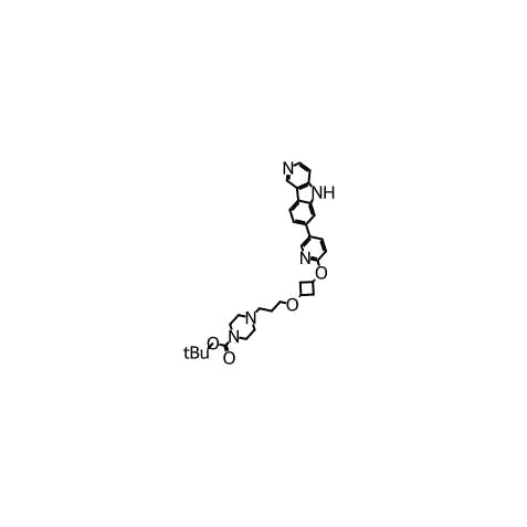 CC(C)(C)OC(=O)N1CCN(CCCO[C@H]2C[C@H](Oc3ccc(-c4ccc5c(c4)[nH]c4ccncc45)cn3)C2)CC1